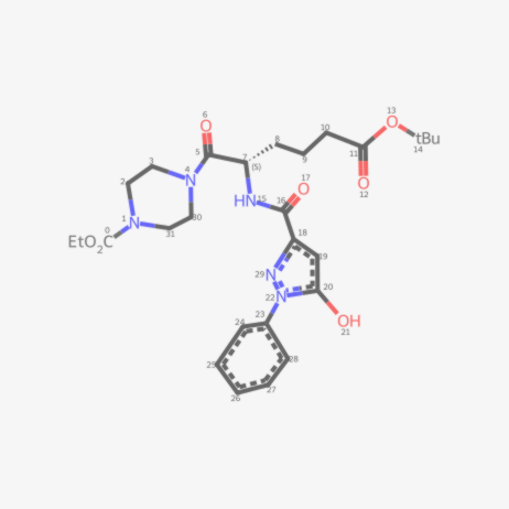 CCOC(=O)N1CCN(C(=O)[C@H](CCCC(=O)OC(C)(C)C)NC(=O)c2cc(O)n(-c3ccccc3)n2)CC1